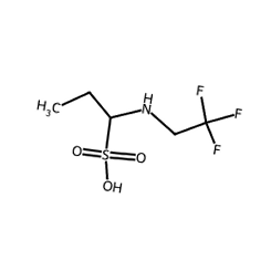 CCC(NCC(F)(F)F)S(=O)(=O)O